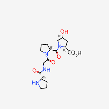 O=C(NCC(=O)N1CCC[C@H]1C(=O)N1C[C@H](O)C[C@H]1C(=O)O)[C@@H]1CCCN1